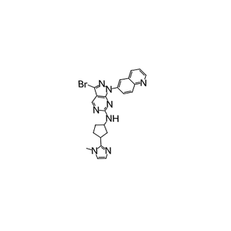 Cn1ccnc1C1CCC(Nc2ncc3c(Br)nn(-c4ccc5ncccc5c4)c3n2)C1